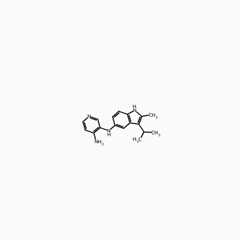 Cc1[nH]c2ccc(Nc3cnccc3N)cc2c1C(C)C